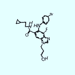 O=C(NCCC1CC1)c1cc2c(ncn2CCCO)c(F)c1Nc1ccc(Br)cc1